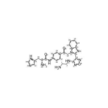 NCCNc1nonc1-c1nc2ccccc2n1CC(=O)c1ccc(NC(=O)[C@@H](N)Cc2cnc[nH]2)cc1